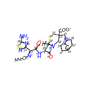 CON=C(C(=O)N[C@@H]1C(=O)N2CC(C[N+]34CCC(CC3)CC4)(C(=O)[O-])CS[C@H]12)c1nsc(N)n1